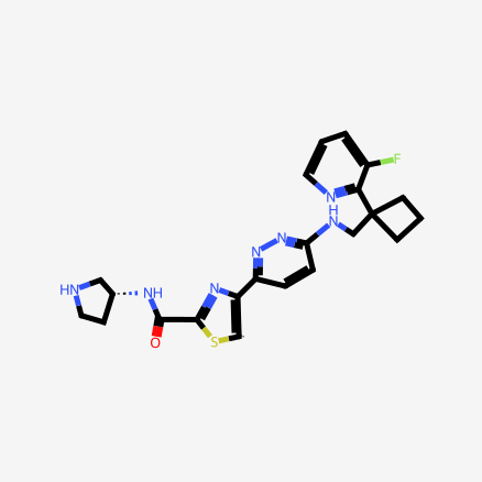 O=C(N[C@@H]1CCNC1)c1nc(-c2ccc(NCC3(c4ncccc4F)CCC3)nn2)[c]s1